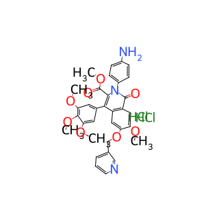 COC(=O)c1c(-c2cc(OC)c(OC)c(OC)c2)c2cc(OCc3cccnc3)c(OC)cc2c(=O)n1-c1ccc(N)cc1.Cl.Cl